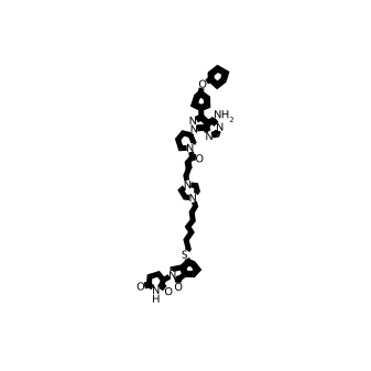 Nc1ncnc2c1c(-c1ccc(Oc3ccccc3)cc1)nn2C1CCCN(C(=O)/C=C/CN2CCN(CCCCCCCSc3cccc4c3CN(C3CCC(=O)NC3=O)C4=O)CC2)C1